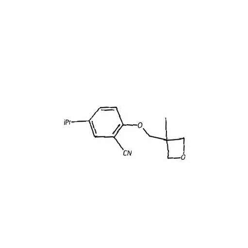 CC(C)c1ccc(OCC2(C)COC2)c(C#N)c1